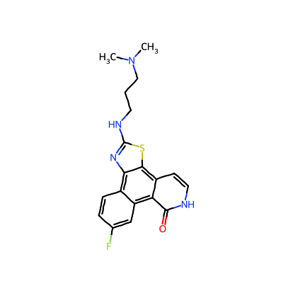 CN(C)CCCNc1nc2c3ccc(F)cc3c3c(=O)[nH]ccc3c2s1